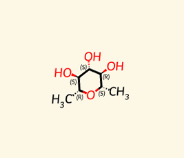 C[C@@H]1O[C@H](C)[C@@H](O)[C@H](O)[C@H]1O